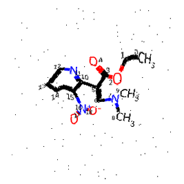 CCOC(=O)C(=CN(C)C)c1ncccc1[N+](=O)[O-]